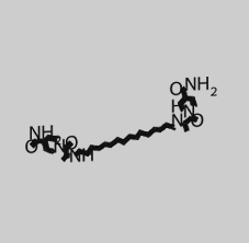 CC(NCCCCCCCCCCCCCCCCNC(C)C(=O)N1C=CC(C(N)=O)=CC1)C(=O)N1C=CC(C(N)=O)=CC1